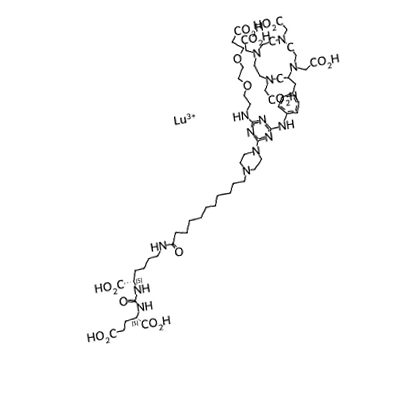 O=C(O)CCOCCOCCNc1nc(Nc2ccc(CC3CN(CC(=O)O)CCN(CC(=O)O)CCN(CC(=O)O)CCN3CC(=O)O)cc2)nc(N2CCN(CCCCCCCCCCC(=O)NCCCC[C@H](NC(=O)N[C@@H](CCC(=O)O)C(=O)O)C(=O)O)CC2)n1.[Lu+3]